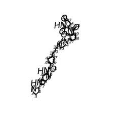 CN1CCC[C@@H]1c1cc2cnc(NC(=O)c3ccc(CCCN4CCN(c5cccc6c5C(=O)N(C5CCC(=O)NC5=O)C6=O)CC4)cc3)cc2[nH]1